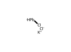 [Cl-].[Cl][PbH].[K+]